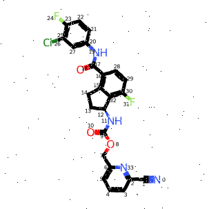 N#Cc1cccc(COC(=O)N[C@H]2CCc3c(C(=O)Nc4ccc(F)c(Cl)c4)ccc(F)c32)n1